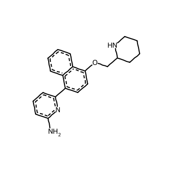 Nc1cccc(-c2ccc(OCC3CCCCN3)c3ccccc23)n1